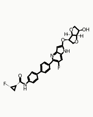 O=C(Nc1ccc(-c2ccc(-c3nc4cc(O[C@@H]5CO[C@H]6[C@@H]5OC[C@H]6O)[nH]c4cc3F)cc2)cc1)[C@@H]1C[C@@H]1F